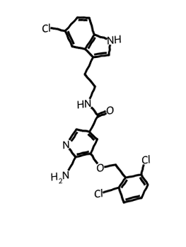 Nc1ncc(C(=O)NCCc2c[nH]c3ccc(Cl)cc23)cc1OCc1c(Cl)cccc1Cl